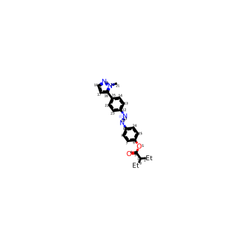 CCC(CC)C(=O)Oc1ccc(/N=N/c2ccc(-c3ccnn3C)cc2)cc1